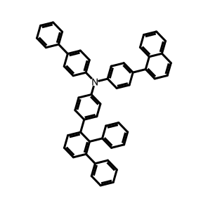 c1ccc(-c2ccc(N(c3ccc(-c4cccc(-c5ccccc5)c4-c4ccccc4)cc3)c3ccc(-c4cccc5ccccc45)cc3)cc2)cc1